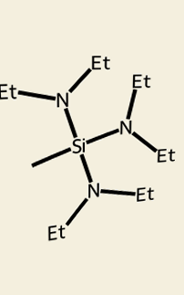 CCN(CC)[Si](C)(N(CC)CC)N(CC)CC